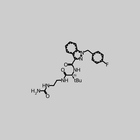 CC(C)(C)[C@H](NC(=O)c1nn(Cc2ccc(F)cc2)c2ccccc12)C(=O)NCCNC(N)=O